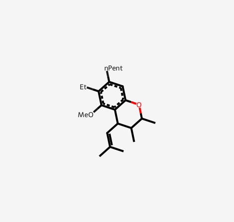 CCCCCc1cc2c(c(OC)c1CC)C(C=C(C)C)C(C)C(C)O2